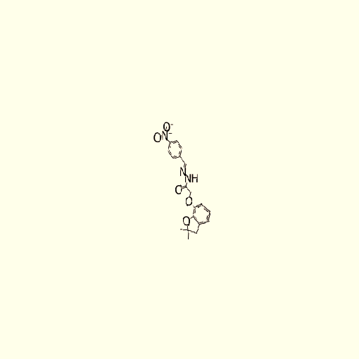 CC1(C)Cc2cccc(OCC(=O)NN=Cc3ccc([N+](=O)[O-])cc3)c2O1